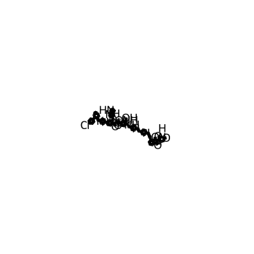 CC1(C)CCC(CN2CCN(c3ccc(C(=O)NS(=O)(=O)c4ccc(NCC5CCN(CCC6CCN(CC#Cc7cccc8c7C(=O)N(C7CCC(=O)NC7=O)C8=O)CC6)CC5)c(NO)c4)c(Oc4cnc5[nH]ccc5c4)c3)CC2)=C(c2ccc(Cl)cc2)C1